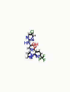 O=c1c2ccc(C(F)(F)F)nc2n2nccc2n1CC(O)Nc1ncc(Cl)cn1